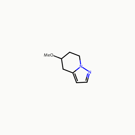 COC1CCn2nccc2C1